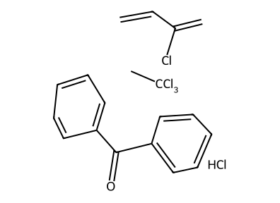 C=CC(=C)Cl.CC(Cl)(Cl)Cl.Cl.O=C(c1ccccc1)c1ccccc1